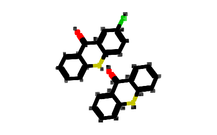 O=c1c2ccccc2sc2ccc(Cl)cc12.O=c1c2ccccc2sc2ccccc12